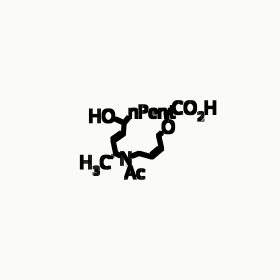 CCCCCC(O)/C=C/[C@@H](C)N(C/C=C\COCC(=O)O)C(C)=O